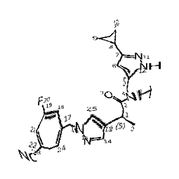 C[C@H](C(=O)Nc1cc(C2CC2)n[nH]1)c1cnn(-c2cc(F)cc(C#N)c2)c1